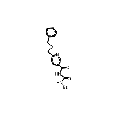 CCNC(=O)NC(=O)c1ccc(COCc2ccccc2)nc1